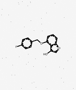 Oc1coc2cccc(OCc3ccc(F)cc3)c12